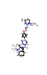 CCC1CCC(C)N(CCCOc2ccc(N3CCN(C(=O)c4c(CC(=O)O)n(C)c5ccccc45)CC3)cc2)C1